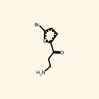 NCCC(=O)c1ccc(Br)s1